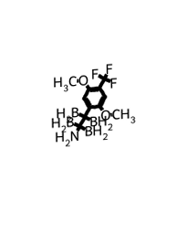 BC(B)(N)C(B)(B)c1cc(OC)c(C(F)(F)F)cc1OC